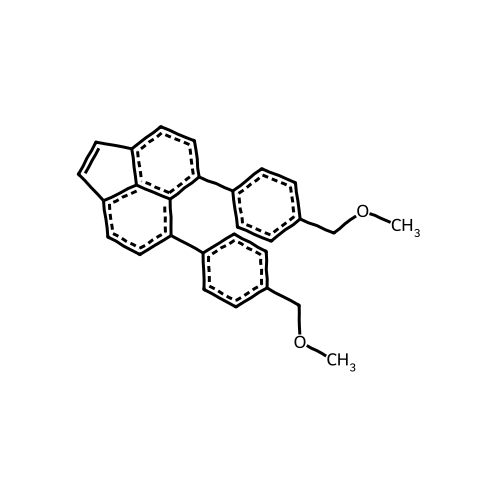 COCc1ccc(-c2ccc3c4c(ccc(-c5ccc(COC)cc5)c24)C=C3)cc1